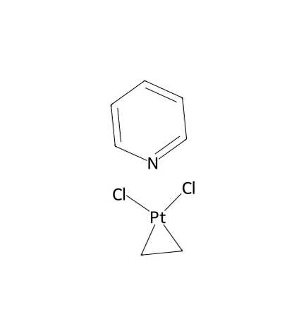 [Cl][Pt]1([Cl])[CH2][CH2]1.c1ccncc1